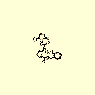 N[C@@H](Cc1ccccc1)C(=O)N1CCCC1NC(=O)ON1C(=O)CCC1=O